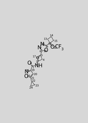 O=C(NC12CC(c3nnc(C4(OC(F)(F)F)CCC4)o3)(C1)C2)c1cc(C2CC2)on1